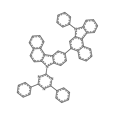 c1ccc(-c2nc(-c3ccccc3)nc(-n3c4ccc(-c5cc6c(c7ccccc57)c5ccccc5n6-c5ccccc5)cc4c4c5ccccc5ccc43)n2)cc1